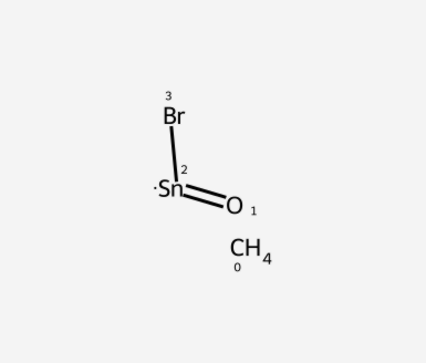 C.[O]=[Sn][Br]